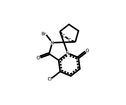 O=C1c2c(Cl)ccc(=O)n2C2(C3CCC2CC3)N1Br